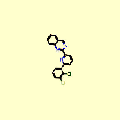 Clc1cccc(-c2cccc(-c3ncc4ccccc4n3)n2)c1Cl